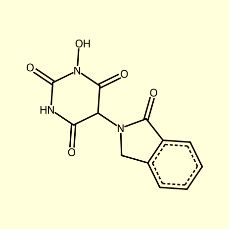 O=C1NC(=O)N(O)C(=O)C1N1Cc2ccccc2C1=O